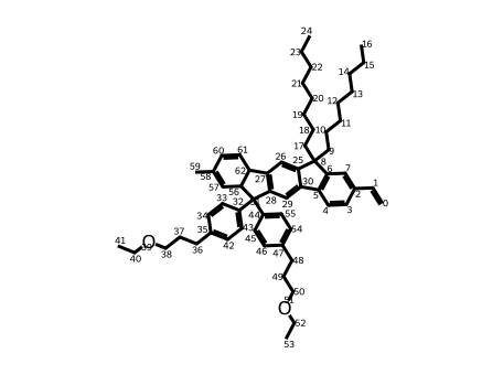 C=Cc1ccc2c(c1)C(CCCCCCCC)(CCCCCCCC)c1cc3c(cc1-2)C(c1ccc(CCCOCC)cc1)(c1ccc(CCCOCC)cc1)C1C=C(C)C=CC31